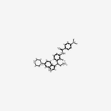 CN(C)c1ccc(C(=O)Nc2cccc(C(C[N+](=O)[O-])c3c[nH]c4cc(N5CCOCC5)ccc34)c2F)cc1